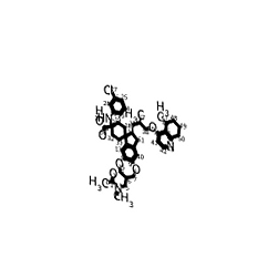 CC(=O)N(C)CC1COc2cc3c(cc2OC1)C1(CCC(Nc2cccc(Cl)c2)(C(=O)O)CC1)[C@@H](C[C@@H](C)COc1ccnc2c1[C@H](C)CCC2)C3